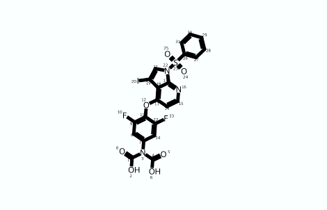 O=C(O)N(C(=O)O)c1cc(F)c(Oc2ccnc3c2c(I)cn3S(=O)(=O)c2ccccc2)c(F)c1